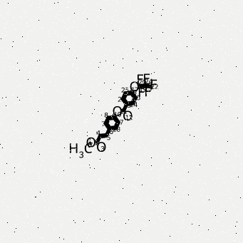 COC(=O)/C=C/c1ccc(OC(=O)c2ccc(OC(F)(F)C(F)(F)F)cc2)cc1